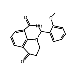 COc1ccccc1C1NC(=O)c2cccc3c2N1CCC3=O